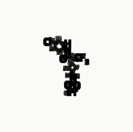 CC(C)OC(=O)N1CC2(CC([C@H](C(=O)Nc3ccc(Cl)cc3)C(F)(F)F)C2)C1